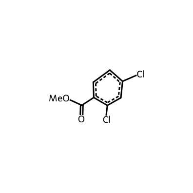 [CH2]OC(=O)c1ccc(Cl)cc1Cl